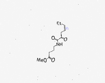 CC/C=C\CC(=O)C(=O)NCCCC(=O)OC